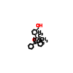 CC(C)(C)C(O[SiH](c1ccccc1)c1ccccc1)c1cccc(CO)c1